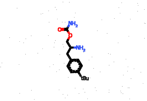 CC(C)(C)c1ccc(CC(N)COC(N)=O)cc1